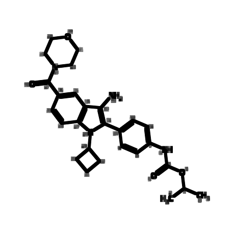 CC(C)OC(=O)Nc1ccc(-c2c(N)c3cc(C(=O)N4CCOCC4)ccc3n2C2CCC2)cc1